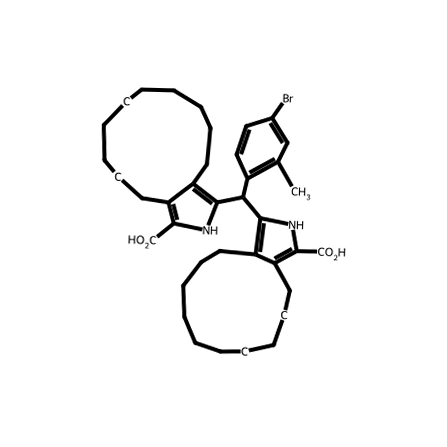 Cc1cc(Br)ccc1C(c1[nH]c(C(=O)O)c2c1CCCCCCCCCC2)c1[nH]c(C(=O)O)c2c1CCCCCCCCCC2